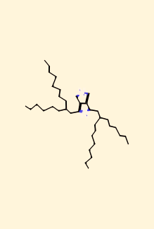 CCCCCCCCC(CCCCCC)CC1=NC(CC(CCCCCC)CCCCCCCC)=C2C=NC=C12